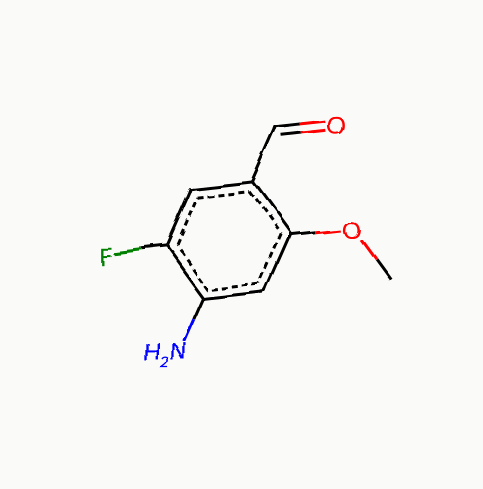 COc1cc(N)c(F)cc1C=O